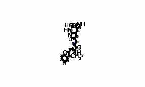 Cc1c(CN(C)C(=O)/C=C/c2cnc3c(c2)CC2(CNC2)C(O)N3)oc2ccccc12